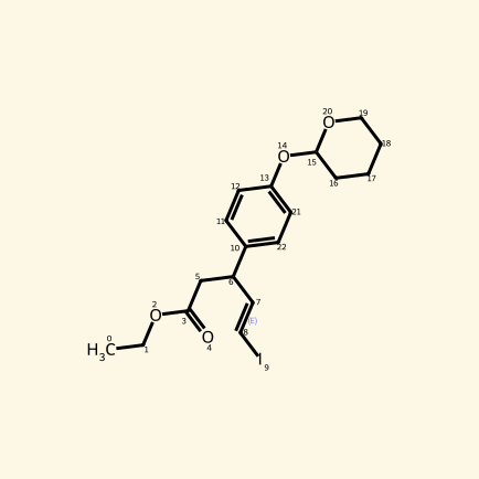 CCOC(=O)CC(/C=C/I)c1ccc(OC2CCCCO2)cc1